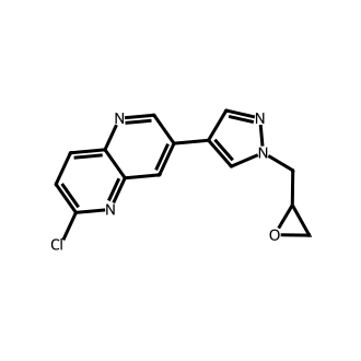 Clc1ccc2ncc(-c3cnn(CC4CO4)c3)cc2n1